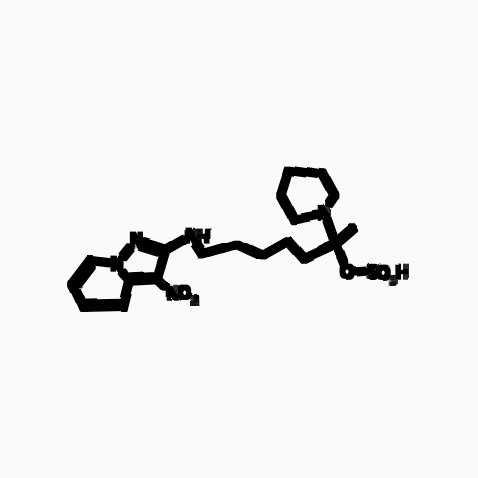 CC(CCCCCNc1nn2ccccc2c1[N+](=O)[O-])(OS(=O)(=O)O)N1CCCCC1